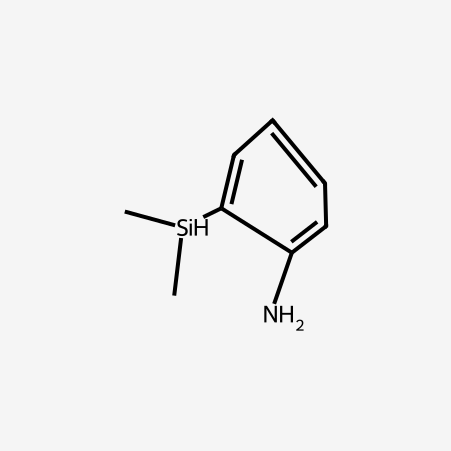 C[SiH](C)c1ccccc1N